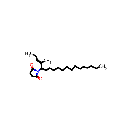 CCC=C(C)C(CCCCCCCCCCCCCC)N1C(=O)CCC1=O